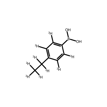 [2H]c1c([2H])c(C([2H])([2H])C([2H])([2H])[2H])c([2H])c([2H])c1B(O)O